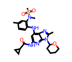 Cc1ccc(Nc2cc(NC(=O)C3CC3)nc3c2nc(C)n3C2CCCCO2)c(N(C)S(C)(=O)=O)c1